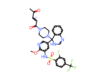 COc1ncc(C2(N3CCN(C(=O)/C=C/C(C)=O)CC3)NC=Nc3ccccc32)cc1NS(=O)(=O)c1ccc(C(F)(F)F)cc1F